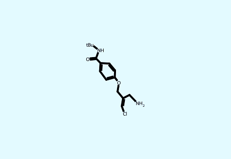 CC(C)(C)NC(=O)c1ccc(OCC(=CCl)CN)cc1